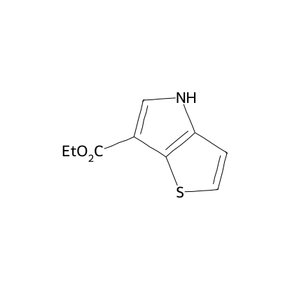 CCOC(=O)c1c[nH]c2ccsc12